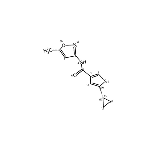 Cc1cc(NC(=O)c2csc([C@@H]3[CH]C3)c2)no1